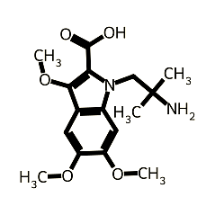 COc1cc2c(OC)c(C(=O)O)n(CC(C)(C)N)c2cc1OC